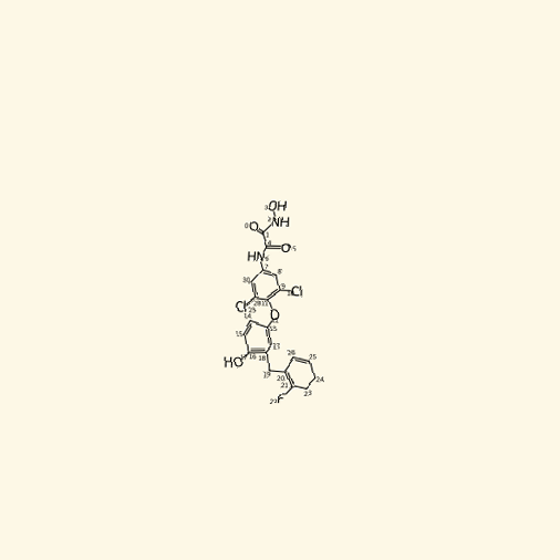 O=C(NO)C(=O)Nc1cc(Cl)c(Oc2ccc(O)c(CC3=C(F)CCC=C3)c2)c(Cl)c1